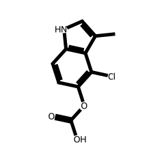 Cc1c[nH]c2ccc(OC(=O)O)c(Cl)c12